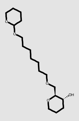 O[C@@H]1CCCO[C@H]1COCCCCCCCOC1CCCCO1